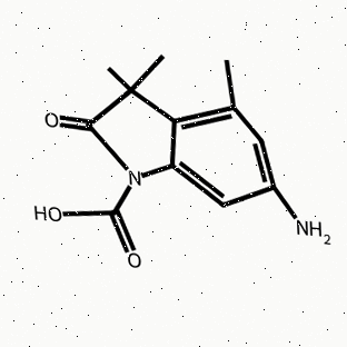 Cc1cc(N)cc2c1C(C)(C)C(=O)N2C(=O)O